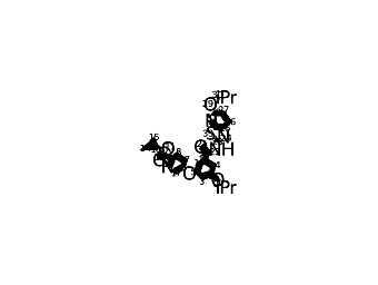 CC(C)Oc1cc(Oc2ccc(S(=O)(=O)C3CC3)nc2)cc(C(=O)Nc2nc3ccc(OC(C)C)nc3s2)c1